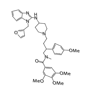 COc1ccc(C(CCN2CCC(Nc3nc4ccccc4n3Cc3ccoc3)CC2)CN(C)C(=O)c2cc(OC)c(OC)c(OC)c2)cc1